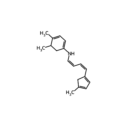 CC1=CC=C(/C=C\C=C/NC2=CC=C(C)C(C)C2)C1